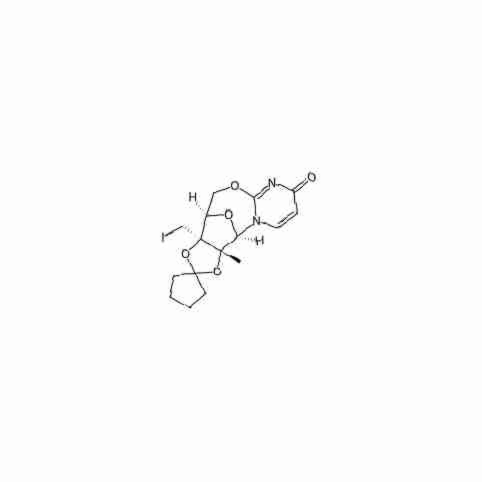 C[C@@]12OC3(CCCC3)O[C@@]1(CI)[C@H]1COc3nc(=O)ccn3[C@@H]2O1